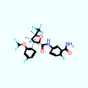 C[C@H]1[C@@H](c2ccc(F)cc2OC(F)F)[C@@H](C(=O)Nc2ccc(F)c(C(N)=O)c2)O[C@]1(C)C(F)(F)F